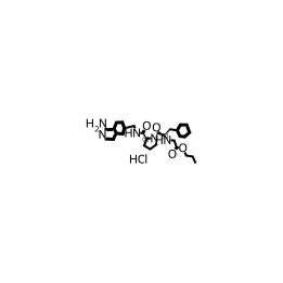 CCCOC(=O)CN[C@H](Cc1ccccc1)C(=O)N1CCC[C@H]1C(=O)NCc1ccc2c(N)nccc2c1.Cl